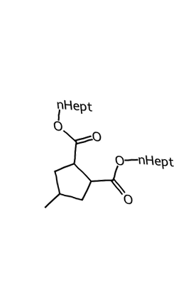 CCCCCCCOC(=O)C1CC(C)CC1C(=O)OCCCCCCC